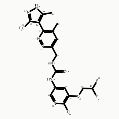 Cc1cc(CNC(=O)Nc2cnc(Cl)c(OCC(F)F)c2)nnc1-c1c(C(F)(F)F)n[nH]c1C